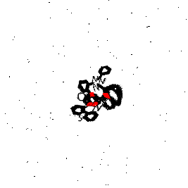 c1ccc(-c2nc(-c3ccccc3)nc(-c3cccc4oc5c(-c6cccc7sc8cccc(-n9c%10ccccc%10c%10ccccc%109)c8c67)cccc5c34)n2)cc1